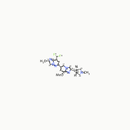 COc1cc(-c2cc(C(F)F)c3nc(C)cn3n2)cn2cc(C3[C@H]4CN(C)C[C@@H]34)nc12